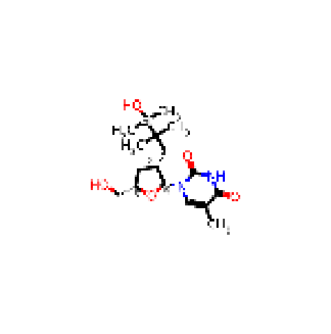 Cc1cn([C@@H]2O[C@H](CO)C[C@@H]2CC(C)(C)[Si](C)(C)O)c(=O)[nH]c1=O